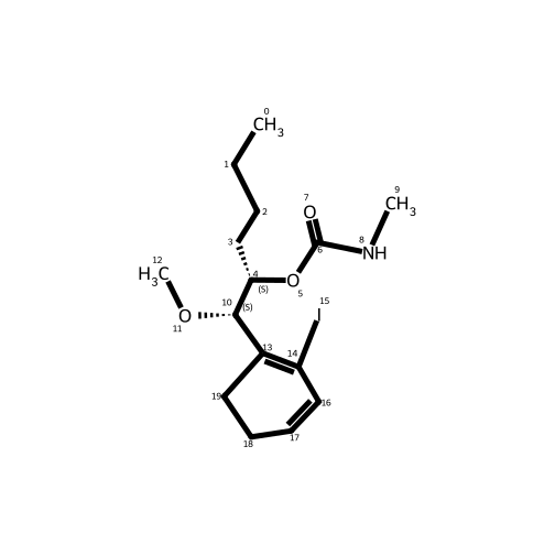 CCCC[C@H](OC(=O)NC)[C@@H](OC)C1=C(I)C=CCC1